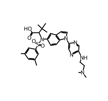 Cc1cc(C)cc(S(=O)(=O)N(c2ccc3c(ccn3-c3cnc(NCCN(C)C)cn3)c2)C(C(=O)O)C(C)(C)C)c1